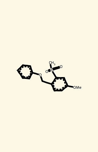 COc1ccc(COc2cc[c]cc2)c(S(C)(=O)=O)c1